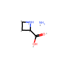 N.O=C(O)C1CCN1